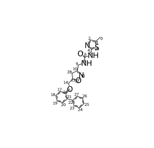 Cc1cnc(NC(=O)NCC2=NOC(COc3ccccc3-c3ccccc3)C2)s1